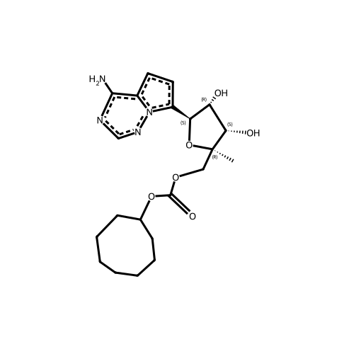 C[C@]1(COC(=O)OC2CCCCCCC2)O[C@@H](c2ccc3c(N)ncnn23)[C@H](O)[C@@H]1O